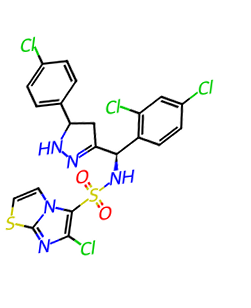 O=S(=O)(N[C@@H](C1=NNC(c2ccc(Cl)cc2)C1)c1ccc(Cl)cc1Cl)c1c(Cl)nc2sccn12